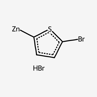 Br.[Zn][c]1ccc(Br)s1